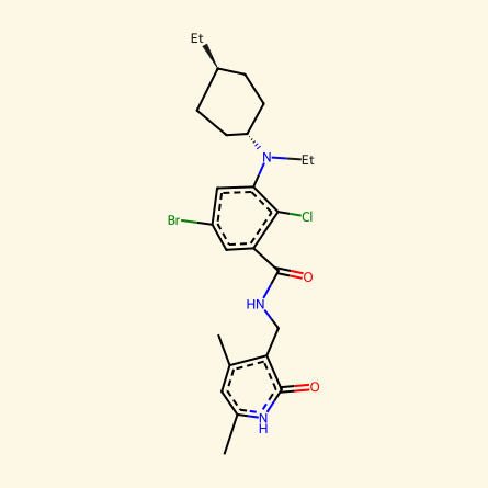 CCN(c1cc(Br)cc(C(=O)NCc2c(C)cc(C)[nH]c2=O)c1Cl)[C@H]1CC[C@H](CC)CC1